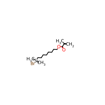 C=C(C)C(=O)OCCCCCCCC[Si](C)(C)Br